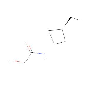 CC[C@H]1C[C@H](NC(=O)CO)C1